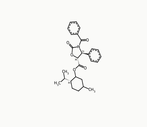 CC1CC[C@H](C(C)C)C(OC(=O)[C@@H]2OC(=O)N(C(=O)c3ccccc3)[C@H]2c2ccccc2)C1